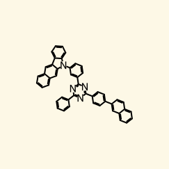 c1ccc(-c2nc(-c3ccc(-c4ccc5ccccc5c4)cc3)nc(-c3cccc(-n4c5ccccc5c5cc6ccccc6cc54)c3)n2)cc1